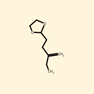 C=C(CC)CCC1OCCO1